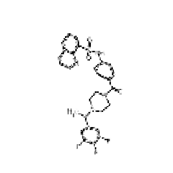 CC(c1cc(F)c(F)c(F)c1)N1CCN(C(=O)c2ccc(NS(=O)(=O)c3cccc4cccnc34)cc2)CC1